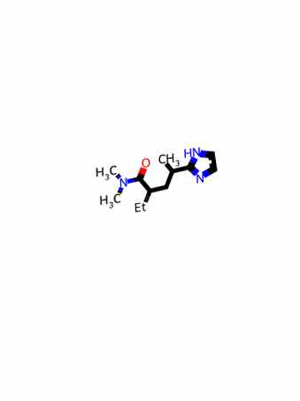 CCC(CC(C)c1ncc[nH]1)C(=O)N(C)C